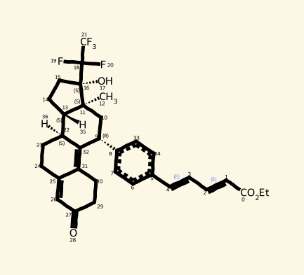 CCOC(=O)/C=C/C=C/c1ccc([C@H]2C[C@@]3(C)[C@@H](CC[C@@]3(O)C(F)(F)C(F)(F)F)[C@@H]3CCC4=CC(=O)CCC4=C32)cc1